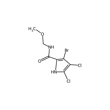 COCNC(=O)c1[nH]c(Cl)c(Cl)c1Br